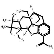 CC[C@]12C[C@H]([C@](C)(O)C(C)(C)C)C(OC)[C@@H]3Oc4c(C(N)=O)ccc5c4[C@@]31CCC[C@@H]2C5